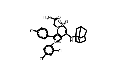 NC(=O)CN1c2c(nn(-c3ccc(Cl)cc3Cl)c2-c2ccc(Cl)cc2)C(NC23CC4CC(CC(C4)C2)C3)=CS1(=O)=O